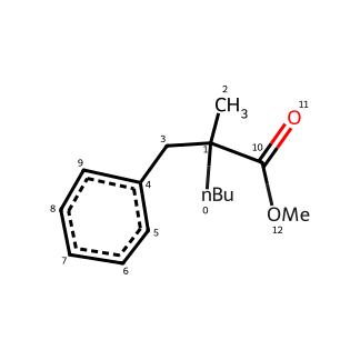 CCCCC(C)(Cc1ccccc1)C(=O)OC